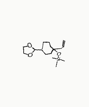 C#CC1(O[Si](C)(C)C)CCC(C2OCCO2)CC1